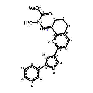 COC(=O)N(C)/N=C1\CCCc2ccc(-c3cnc(-c4cccnc4)s3)nc21